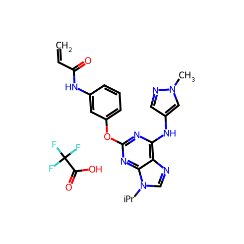 C=CC(=O)Nc1cccc(Oc2nc(Nc3cnn(C)c3)c3ncn(C(C)C)c3n2)c1.O=C(O)C(F)(F)F